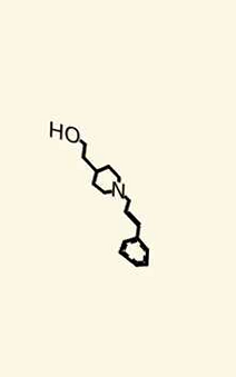 OCCC1CCN(CC=Cc2ccccc2)CC1